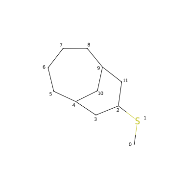 CSC1CC2CCCCC(C2)C1